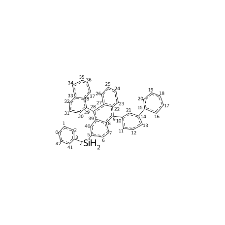 c1ccc([SiH2]c2ccc3c(-c4cccc(-c5ccccc5)c4)c4ccccc4c(-c4cccc5ccccc45)c3c2)cc1